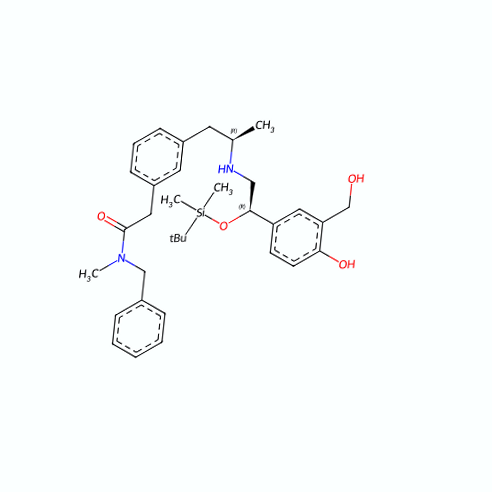 C[C@H](Cc1cccc(CC(=O)N(C)Cc2ccccc2)c1)NC[C@H](O[Si](C)(C)C(C)(C)C)c1ccc(O)c(CO)c1